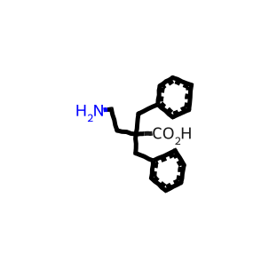 NCCC(Cc1ccccc1)(Cc1ccccc1)C(=O)O